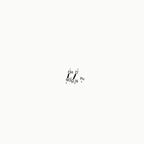 O=[N+]([O-])O.O=[N+]([O-])[O-].[Pu]